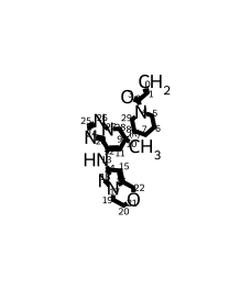 C=CC(=O)N1CCC[C@H](C2(C)C=C(Nc3cc4n(n3)CCOC4)c3ncnn3C2)C1